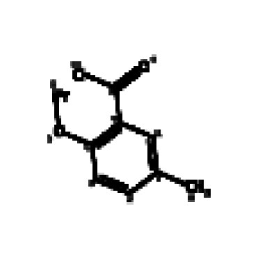 Cc1ccc(OC(C)C)c(C(=O)Cl)c1